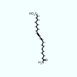 NC(=O)CCCCCCCCC#CC#CCCCCCCCCC(=O)O